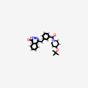 CC(C)(C)OC1CCN(C(=O)c2cccc(Cc3n[nH]c(=O)c4ccccc34)c2)CC1